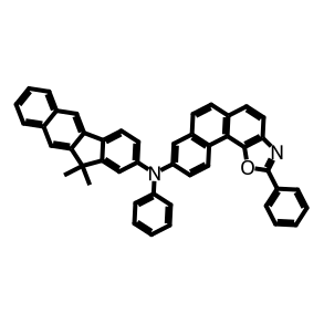 CC1(C)c2cc(N(c3ccccc3)c3ccc4c(ccc5ccc6nc(-c7ccccc7)oc6c54)c3)ccc2-c2cc3ccccc3cc21